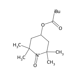 CCC(C)C(=O)OC1CC(C)(C)[N+](=O)C(C)(C)C1